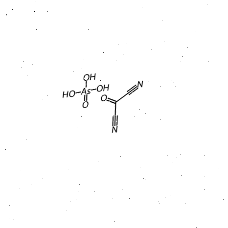 N#CC(=O)C#N.O=[As](O)(O)O